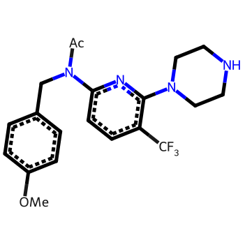 COc1ccc(CN(C(C)=O)c2ccc(C(F)(F)F)c(N3CCNCC3)n2)cc1